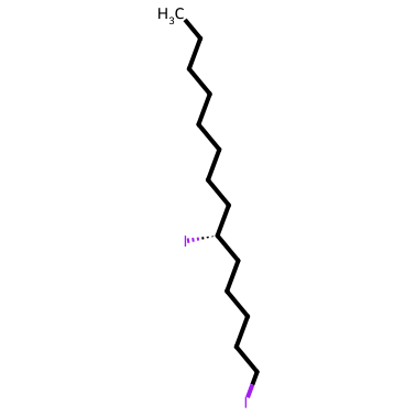 CCCCCCCC[C@@H](I)CCCCCI